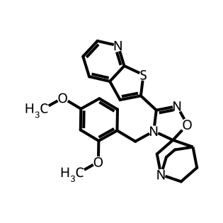 COc1ccc(CN2C(c3cc4cccnc4s3)=NOC23CN2CCC3CC2)c(OC)c1